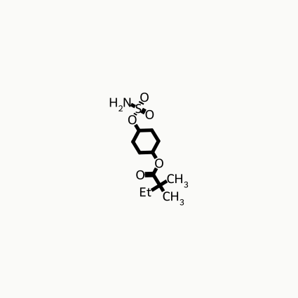 CCC(C)(C)C(=O)OC1CCC(OS(N)(=O)=O)CC1